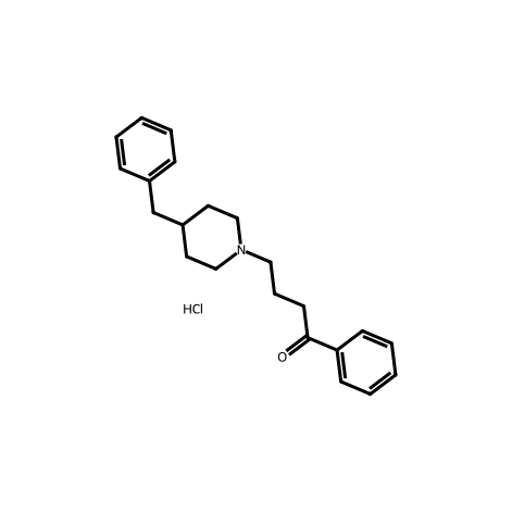 Cl.O=C(CCCN1CCC(Cc2ccccc2)CC1)c1ccccc1